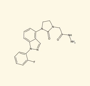 NNC(=O)CN1CCN(c2cccc3c2cnn3-c2ccccc2F)C1=O